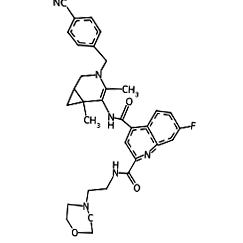 CC1=C(NC(=O)c2cc(C(=O)NCCN3CCOCC3)nc3cc(F)ccc23)C2(C)CC2CN1Cc1ccc(C#N)cc1